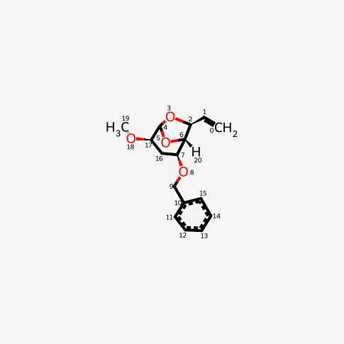 C=C[C@@H]1OC2O[C@H]1[C@@H](OCc1ccccc1)C[C@H]2OC